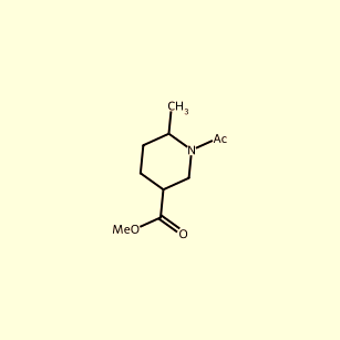 COC(=O)C1CCC(C)N(C(C)=O)C1